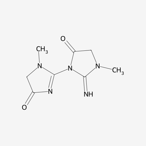 CN1CC(=O)N(C2=NC(=O)CN2C)C1=N